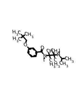 CC(C)N(I)C(C)(C)C(C)(C)N(I)C(=O)c1cccc(OCC(C)(C)C)c1